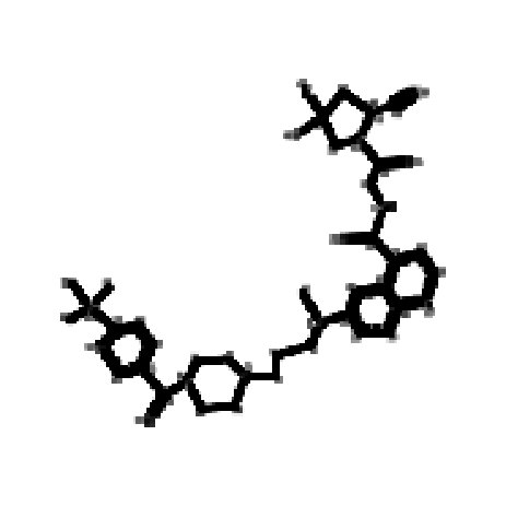 CN(CCCN1CCN(C(=O)c2ccc([N+](C)(C)C)nc2)CC1)c1ccc2nccc(C(=O)NCC(=O)N3CC(F)(F)C[C@H]3C#N)c2c1